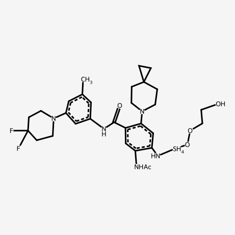 CC(=O)Nc1cc(C(=O)Nc2cc(C)cc(N3CCC(F)(F)CC3)c2)c(N2CCC3(CC2)CC3)cc1N[SH4]OOCCO